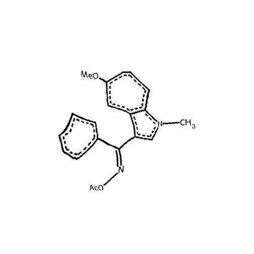 COc1ccc2c(c1)c(/C(=N/OC(C)=O)c1ccccc1)cn2C